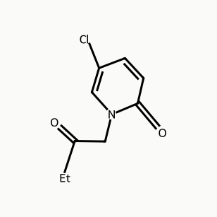 CCC(=O)Cn1cc(Cl)ccc1=O